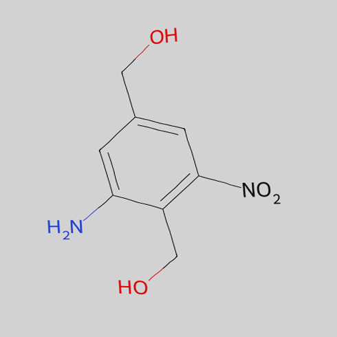 Nc1cc(CO)cc([N+](=O)[O-])c1CO